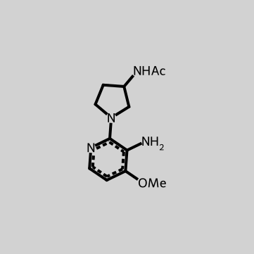 COc1ccnc(N2CCC(NC(C)=O)C2)c1N